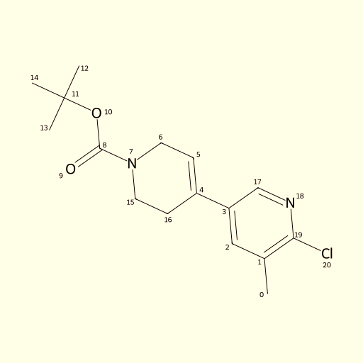 Cc1cc(C2=CCN(C(=O)OC(C)(C)C)CC2)cnc1Cl